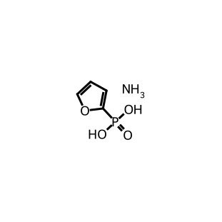 N.O=P(O)(O)c1ccco1